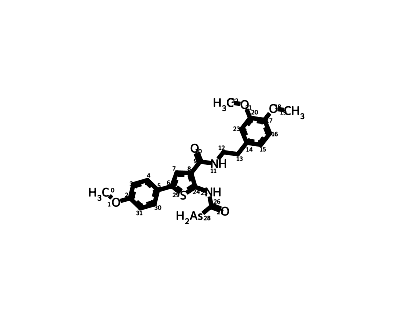 COc1ccc(-c2cc(C(=O)NCCc3ccc(OC)c(OC)c3)c(NC(=O)[AsH2])s2)cc1